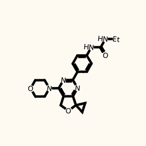 CCNC(=O)Nc1ccc(-c2nc(N3CCOCC3)c3c(n2)C2(CC2)OC3)cc1